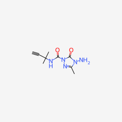 C#CC(C)(C)NC(=O)n1nc(C)n(N)c1=O